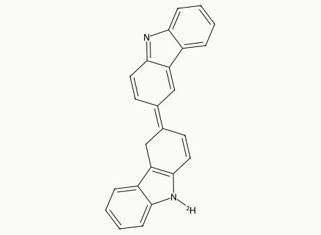 [2H]n1c2c(c3ccccc31)CC(=c1ccc3c(c1)-c1ccccc1N=3)C=C2